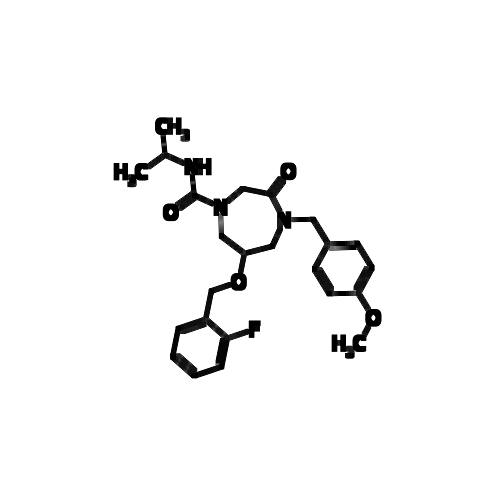 COc1ccc(CN2CC(OCc3ccccc3F)CN(C(=O)NC(C)C)CC2=O)cc1